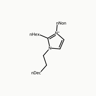 CCCCCCCCCCCCn1cc[n+](CCCCCCCCC)c1CCCCCC